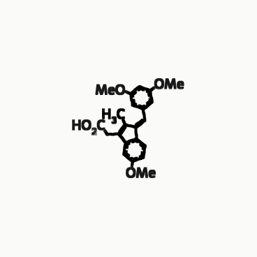 COc1cc(C=C2C(C)=C(CC(=O)O)c3cc(OC)ccc32)cc(OC)c1